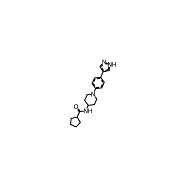 O=C(NC1CCN(c2ccc(-c3cn[nH]c3)cc2)CC1)C1CCCC1